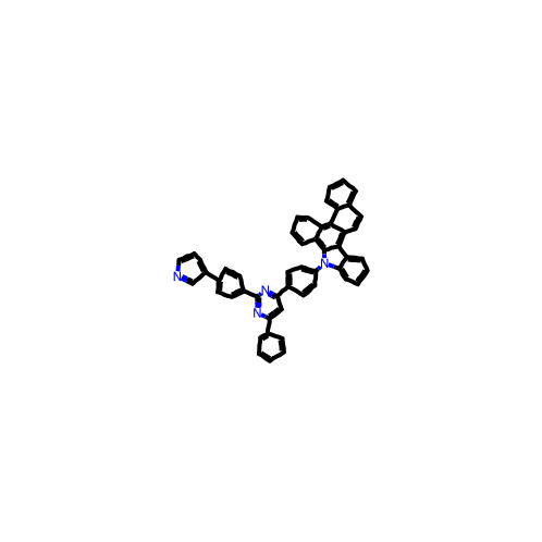 c1ccc(-c2cc(-c3ccc(-n4c5ccccc5c5c6ccc7ccccc7c6c6ccccc6c54)cc3)nc(-c3ccc(-c4cccnc4)cc3)n2)cc1